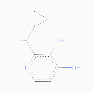 CC(c1nccc(N)c1N)C1CC1